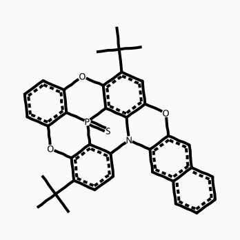 CC(C)(C)c1ccc2c3c1Oc1cccc4c1P3(=S)c1c(c(C(C)(C)C)cc3c1N2c1cc2ccccc2cc1O3)O4